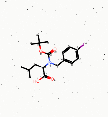 CC(C)C[C@H](C(=O)O)N(Cc1ccc(I)cc1)C(=O)OC(C)(C)C